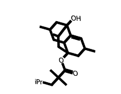 CC(C)CC(C)(C)C(=O)OC12CC(C)C=C3C1CC(C)CC3(O)C(C)C2